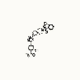 CN(C)C(=O)c1ccc(-c2nnc(N3CCC4(CCN(S(=O)(=O)c5ccccc5Cl)CC4)C3)s2)cc1Cl